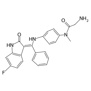 CN(C(=O)CN)c1ccc(N/C(=C2\C(=O)Nc3cc(F)ccc32)c2ccccc2)cc1